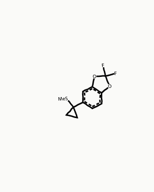 CSC1(c2ccc3c(c2)OC(F)(F)O3)CC1